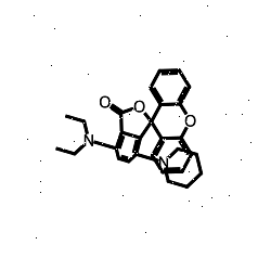 CCN(CC)c1ccc(N2CCCCC2)c2c1C(=O)OC21c2ccccc2Oc2ccccc21